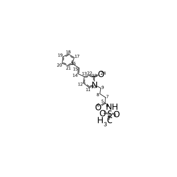 CS(=O)(=O)NC(=O)CCCn1ccc(C=Cc2ccccc2)cc1=O